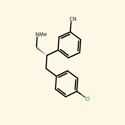 CNC[C@@H](Cc1ccc(Cl)cc1)c1cccc(C#N)c1